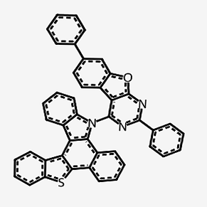 c1ccc(-c2ccc3c(c2)oc2nc(-c4ccccc4)nc(-n4c5ccccc5c5c6c7ccccc7sc6c6ccccc6c54)c23)cc1